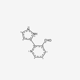 O=Cc1cccnc1-c1ccn[nH]1